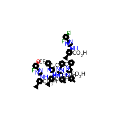 Cc1ccc(Nc2ccc(-c3ccccc3C(F)(F)F)nc2)c(C(=O)O)c1.Cc1ccc(Nc2cnc(-c3ccccc3C(F)(F)F)nc2)c(C(=O)O)c1.O=C(O)c1cc(C2CC2)ccc1Nc1ccc(-c2ccccc2)nc1.O=C(O)c1cc(C2CC2)ccc1Nc1cnc(-c2cc(Cl)ccc2F)nc1.O=C(O)c1cc(C2CC2)ccc1Nc1cnc(-c2cc(OC(F)(F)F)ccc2F)nc1